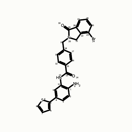 Nc1ccc(-c2cccs2)cc1NC(=O)c1ccc(CN2Cc3c(Br)cccc3C2=O)cc1